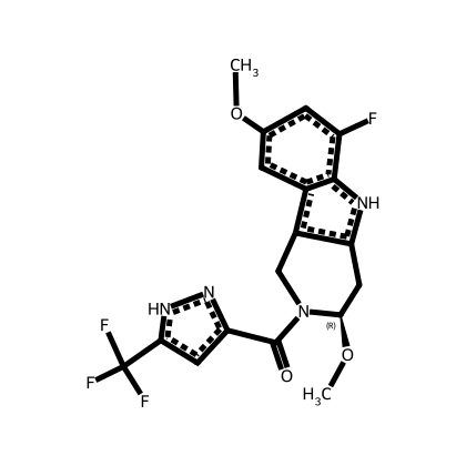 COc1cc(F)c2[nH]c3c(c2c1)CN(C(=O)c1cc(C(F)(F)F)[nH]n1)[C@H](OC)C3